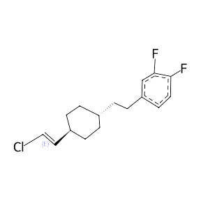 Fc1ccc(CC[C@H]2CC[C@H](/C=C/Cl)CC2)cc1F